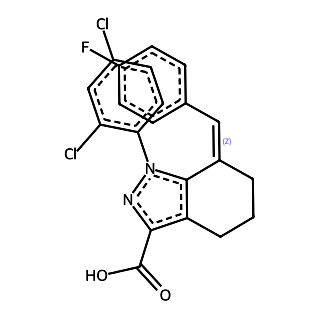 O=C(O)c1nn(-c2ccc(Cl)cc2Cl)c2c1CCC/C2=C/c1ccc(F)cc1